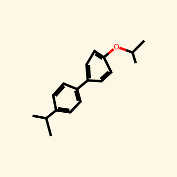 CC(C)Oc1ccc(-c2ccc(C(C)C)cc2)cc1